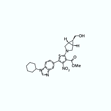 COC(=O)c1c(N2C[C@@H]3[C@@H](CO)[C@@H]3C2)sc(-c2ccc3c(c2)ncn3C2CCCCC2)c1[N+](=O)[O-]